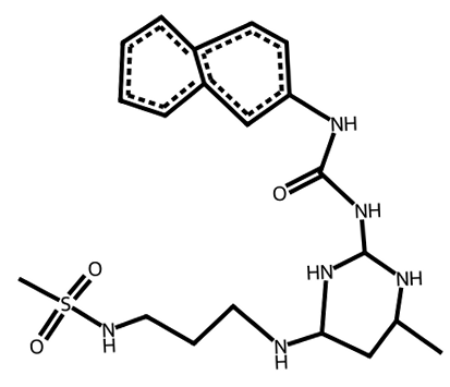 CC1CC(NCCCNS(C)(=O)=O)NC(NC(=O)Nc2ccc3ccccc3c2)N1